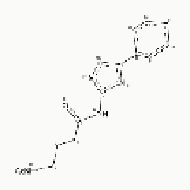 CC(=O)NCCCC(=O)Nc1nc(-c2ccccc2)cs1